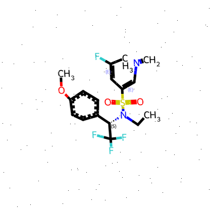 C=N/C=C(\C=C(/C)F)S(=O)(=O)N(CC)[C@@H](c1ccc(OC)cc1)C(F)(F)F